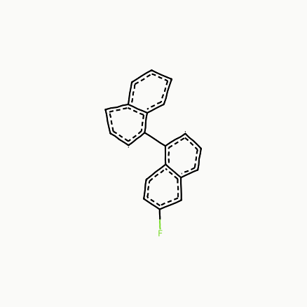 Fc1ccc2c(-c3[c]ccc4ccccc34)[c]ccc2c1